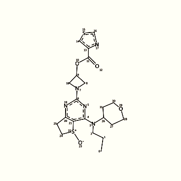 CCCN(c1nc(N2CC(OC(=O)c3cscn3)C2)nc2c1[S+]([O-])CC2)C1CCOCC1